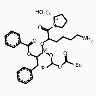 CCCCC(=O)OC(O[P@](OC(CCCCN)C(=O)N1CCC[C@H]1C(=O)O)C(Cc1ccccc1)OC(=O)c1ccccc1)C(C)C